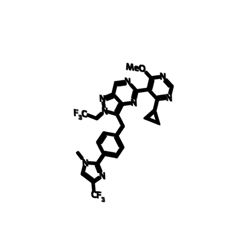 COc1ncnc(C2CC2)c1-c1ncc2nn(CC(F)(F)F)c(Cc3ccc(-c4nc(C(F)(F)F)cn4C)cc3)c2n1